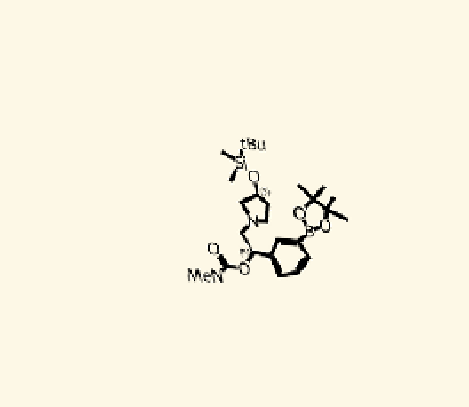 CNC(=O)O[C@@H](CN1CC[C@H](O[Si](C)(C)C(C)(C)C)C1)c1cccc(B2OC(C)(C)C(C)(C)O2)c1